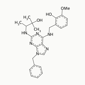 COc1cccc(CNc2nc(NC(C)C(C)(C)O)nc3c2ncn3Cc2ccccc2)c1O